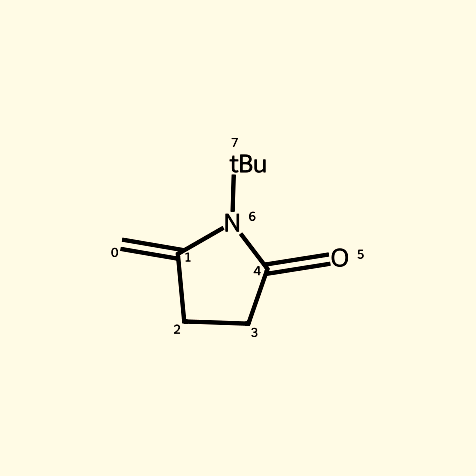 C=C1CCC(=O)N1C(C)(C)C